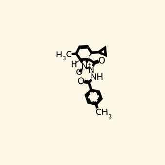 Cc1ccc(C(=O)NN2C(=O)[C@]34C(C5CC5)C=CC(C)[C@@H]3[N+]24[O-])cc1